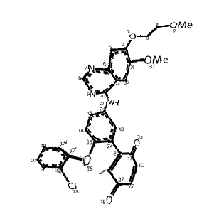 COCCOc1cc2ncnc(Nc3ccc(Oc4ccccc4Cl)c(C4=CC(=O)C=CC4=O)c3)c2cc1OC